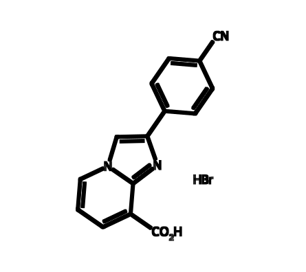 Br.N#Cc1ccc(-c2cn3cccc(C(=O)O)c3n2)cc1